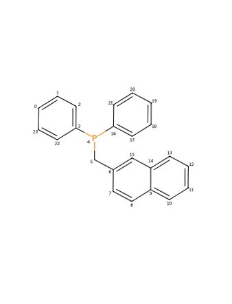 c1ccc(P(Cc2ccc3ccccc3c2)c2ccccc2)cc1